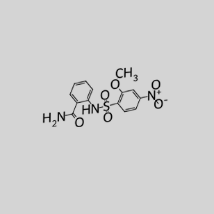 COc1cc([N+](=O)[O-])ccc1S(=O)(=O)Nc1ccccc1C(N)=O